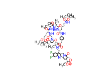 CC[C@@]1(O)C(=O)OCc2c1cc1n(c2=O)Cc2c-1nc1cc(F)c(F)cc1c2CCN(C(=O)OCc1ccc(NC(=O)[C@H](CCCCNC(=O)OC(C)(C)C)NC(=O)[C@H](C)NC(=O)[C@@H](NC(=O)[C@H](CCCC(=O)OC(C)(C)C)NC(=O)CN2C(=O)C=CC2=O)C(C)C)cc1)C(C)C